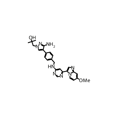 COc1ccn2c(-c3cc(NCc4ccc(-c5cn(CC(C)(C)O)nc5N)cc4)ncn3)cnc2c1